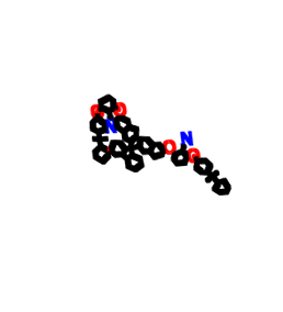 CC(C)(c1ccccc1)c1ccc(Oc2cccc(Oc3ccc4cc(C5(c6ccc7cc(Oc8cccc(Oc9ccc(C(C)(C)c%10ccccc%10)cc9)c8C#N)ccc7c6)c6ccccc6-c6ccccc65)ccc4c3)c2C#N)cc1